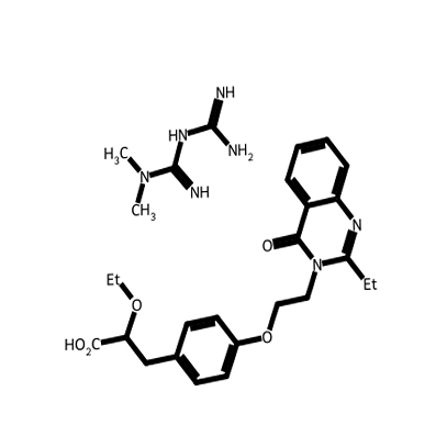 CCOC(Cc1ccc(OCCn2c(CC)nc3ccccc3c2=O)cc1)C(=O)O.CN(C)C(=N)NC(=N)N